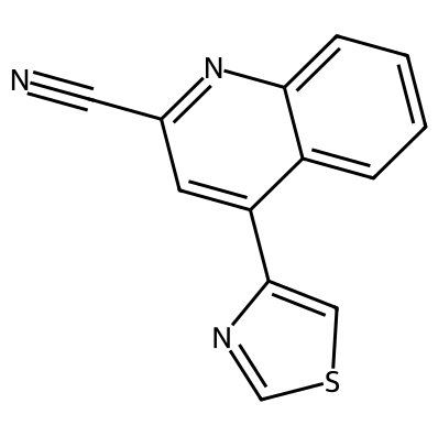 N#Cc1cc(-c2cscn2)c2ccccc2n1